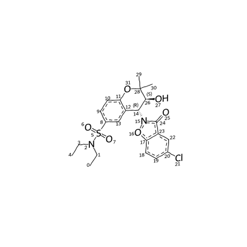 CCN(CC)S(=O)(=O)c1ccc2c(c1)[C@@H](n1oc3ccc(Cl)cc3c1=O)[C@H](O)C(C)(C)O2